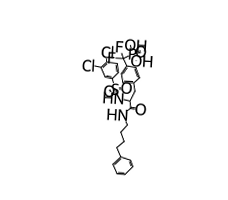 O=C(NCCCCc1ccccc1)C(Cc1ccc(C(F)(F)P(=O)(O)O)cc1)NS(=O)(=O)c1ccc(Cl)c(Cl)c1